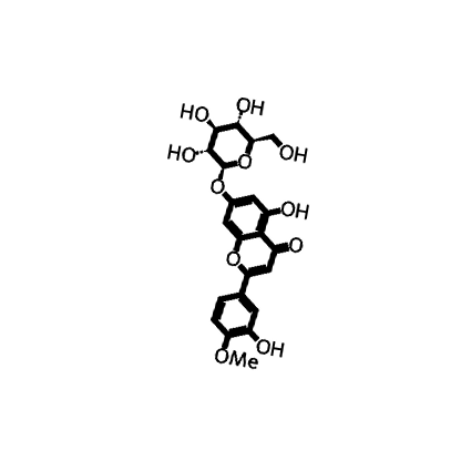 COc1ccc(-c2cc(=O)c3c(O)cc(O[C@@H]4O[C@H](CO)[C@@H](O)[C@H](O)[C@H]4O)cc3o2)cc1O